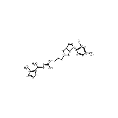 C/C(=N\N=C(\SCCCN1CC2CCN(c3ccc(C(F)(F)F)cc3F)C2C1)C(C)C)c1ocnc1C